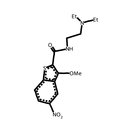 CCN(CC)CCNC(=O)c1sc2ccc([N+](=O)[O-])cc2c1OC